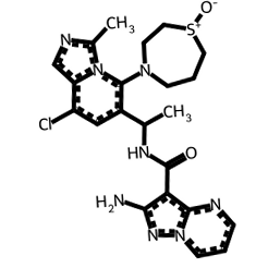 Cc1ncc2c(Cl)cc(C(C)NC(=O)c3c(N)nn4cccnc34)c(N3CCC[S+]([O-])CC3)n12